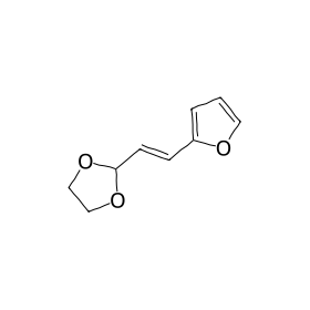 C(=CC1OCCO1)c1ccco1